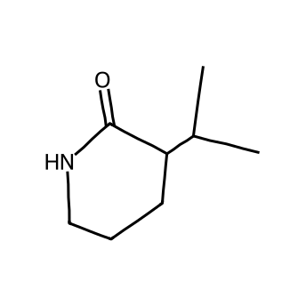 CC(C)C1CCCNC1=O